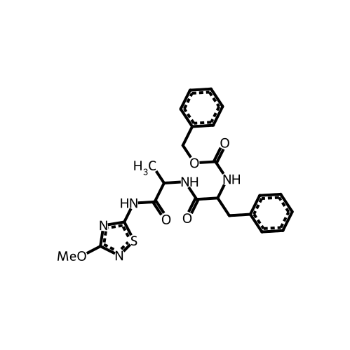 COc1nsc(NC(=O)C(C)NC(=O)C(Cc2ccccc2)NC(=O)OCc2ccccc2)n1